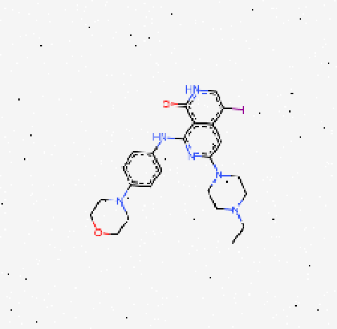 CCN1CCN(c2cc3c(I)c[nH]c(=O)c3c(Nc3ccc(N4CCOCC4)cc3)n2)CC1